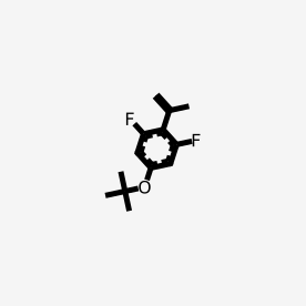 C=C(C)c1c(F)cc(OC(C)(C)C)cc1F